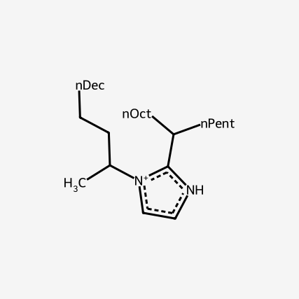 CCCCCCCCCCCCC(C)[n+]1cc[nH]c1C(CCCCC)CCCCCCCC